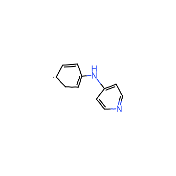 [CH]1C=CC(Nc2ccncc2)=CC1